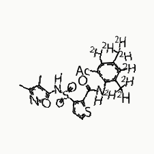 [2H]c1c(C(C)=O)c(NC(=O)c2sccc2S(=O)(=O)Nc2onc(C)c2C)c(C([2H])([2H])[2H])c([2H])c1C([2H])([2H])[2H]